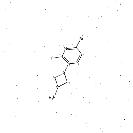 NC1CC(c2ccc(Br)nc2F)C1